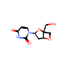 O=c1ccn(C2CC3OCC3(CO)O2)c(=O)[nH]1